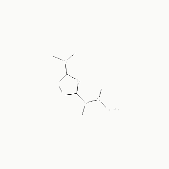 Br.CCCCCCN(CC)N(C)C1NC(N(C)C)SS1